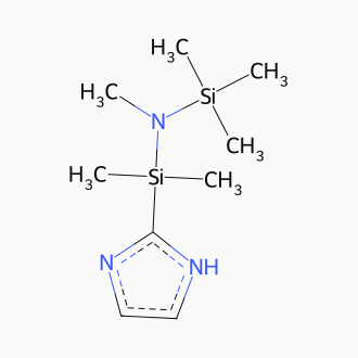 CN([Si](C)(C)C)[Si](C)(C)c1ncc[nH]1